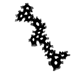 CC1(C)c2ccc(-c3ccc4c5ccccc5c5cccnc5c4n3)cc2-c2cc3c4ccccc4c4cc(-c5ccc(-c6ccc7c8ccccc8c8cccnc8c7n6)cn5)ccc4c3cc21